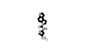 Cc1cc(NC(=O)N2CCc3c2ccc2sccc32)sn1